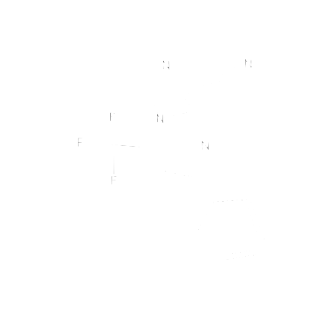 N#Cc1ncn2c(C(F)(F)F)cc(-c3ccccc3)nc12